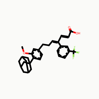 COc1cc(CCC=C(C=CC(=O)O)c2cccc(C(F)(F)F)c2)ccc1C12CC3CC(CC(C3)C1)C2